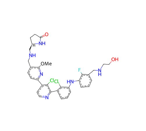 COc1nc(-c2ccnc(-c3cccc(Nc4cccc(CNCCO)c4F)c3Cl)c2Cl)ccc1CNC[C@H]1CCC(=O)N1